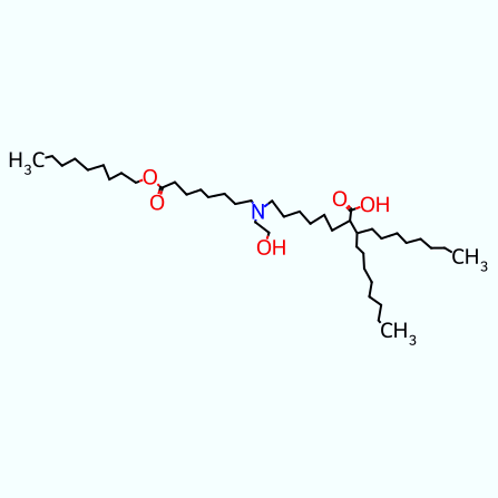 CCCCCCCCCOC(=O)CCCCCCCN(CCO)CCCCCCC(C(=O)O)C(CCCCCCCC)CCCCCCCC